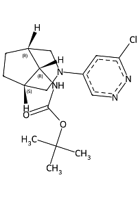 CC(C)(C)OC(=O)N[C@H]1[C@@H]2CC[C@H]1CN(c1cnnc(Cl)c1)C2